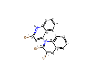 Brc1cc2ccccc2nc1Br.Brc1ccc2ccccc2n1